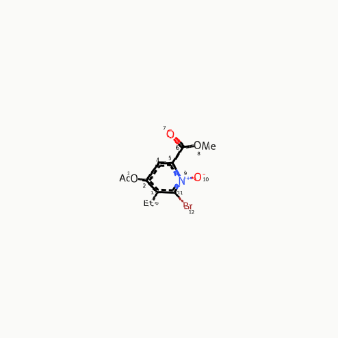 CCc1c(OC(C)=O)cc(C(=O)OC)[n+]([O-])c1Br